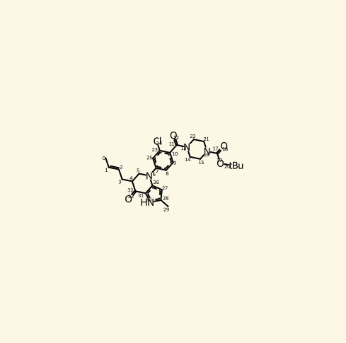 C/C=C/CC1CN(c2ccc(C(=O)N3CCN(C(=O)OC(C)(C)C)CC3)c(Cl)c2)c2cc(C)[nH]c2C1=O